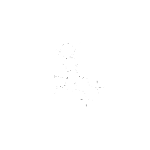 CC(C)=C(Br)C1(O)c2cc3c(cc2-c2cc4c(cc21)C(C)(C)CCC4(C)C)C(C)(C)CCC3(C)C